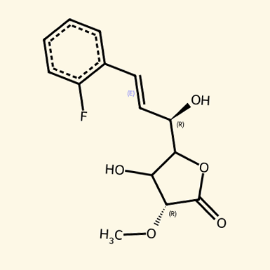 CO[C@H]1C(=O)OC([C@H](O)/C=C/c2ccccc2F)C1O